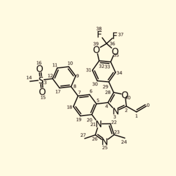 C=Cc1nc(-c2cc(-c3cccc(S(C)(=O)=O)c3)ccc2-n2cc(C)nc2C)c(-c2ccc3c(c2)OC(F)(F)O3)o1